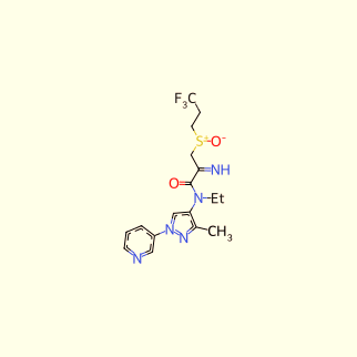 CCN(C(=O)C(=N)C[S+]([O-])CCC(F)(F)F)c1cn(-c2cccnc2)nc1C